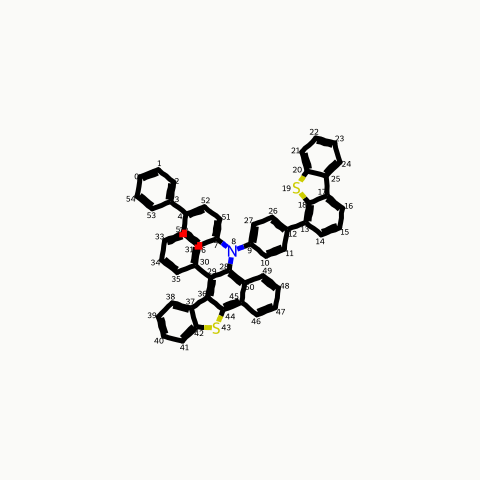 c1ccc(-c2ccc(N(c3ccc(-c4cccc5c4sc4ccccc45)cc3)c3c(-c4ccccc4)c4c5ccccc5sc4c4ccccc34)cc2)cc1